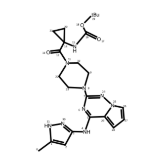 Cc1cc(Nc2nc(N3CCN(C(=O)C4(NC(=O)OC(C)(C)C)CC4)CC3)nn3cccc23)n[nH]1